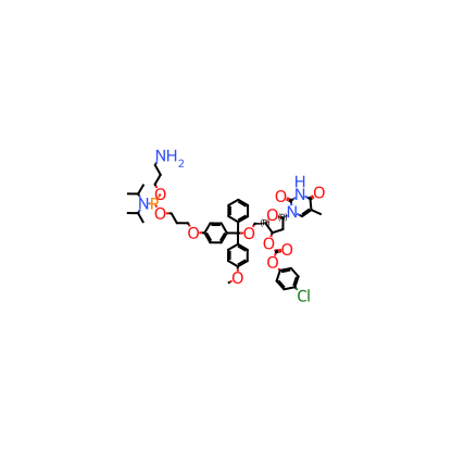 COc1ccc(C(OC[C@H]2O[C@@H](n3cc(C)c(=O)[nH]c3=O)CC2OC(=O)Oc2ccc(Cl)cc2)(c2ccccc2)c2ccc(OCCCOP(OCCCN)N(C(C)C)C(C)C)cc2)cc1